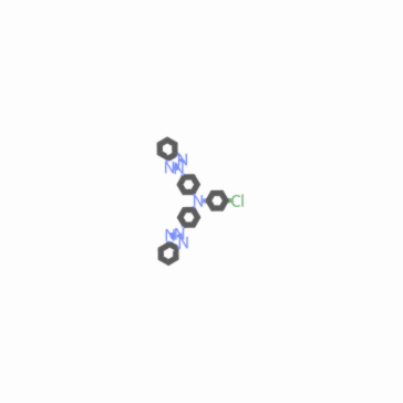 Clc1ccc(N(c2ccc(-n3nc4ccccc4n3)cc2)c2ccc(-n3nc4ccccc4n3)cc2)cc1